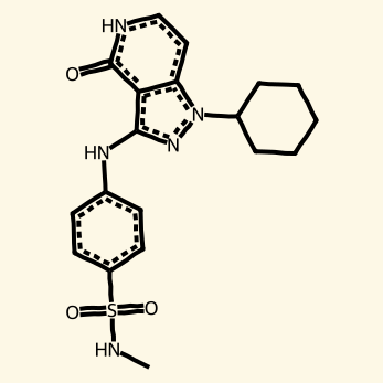 CNS(=O)(=O)c1ccc(Nc2nn(C3CCCCC3)c3cc[nH]c(=O)c23)cc1